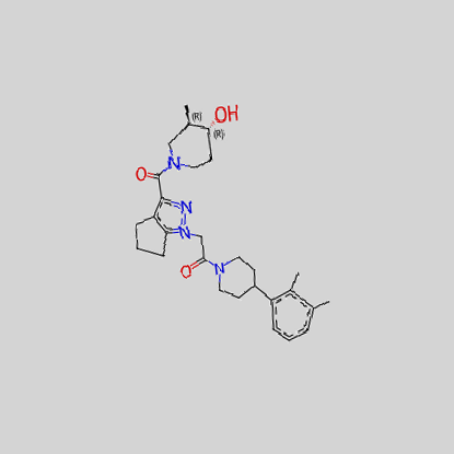 Cc1cccc(C2CCN(C(=O)Cn3nc(C(=O)N4CC[C@@H](O)[C@H](C)C4)c4c3CCC4)CC2)c1C